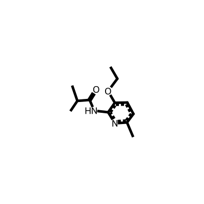 CCOc1ccc(C)nc1NC(=O)C(C)C